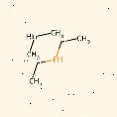 CCPCC.[CH3][InH][CH3]